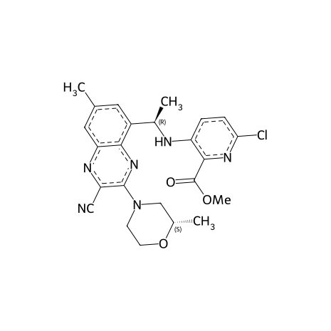 COC(=O)c1nc(Cl)ccc1N[C@H](C)c1cc(C)cc2nc(C#N)c(N3CCO[C@@H](C)C3)nc12